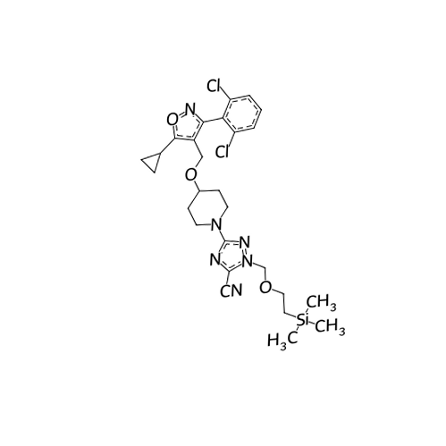 C[Si](C)(C)CCOCn1nc(N2CCC(OCc3c(-c4c(Cl)cccc4Cl)noc3C3CC3)CC2)nc1C#N